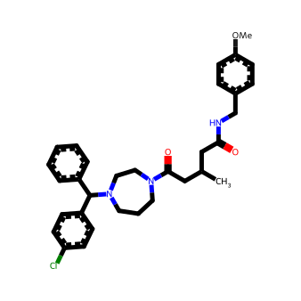 COc1ccc(CNC(=O)CC(C)CC(=O)N2CCCN(C(c3ccccc3)c3ccc(Cl)cc3)CC2)cc1